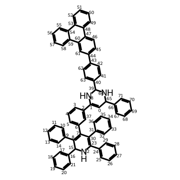 C1=C(c2cccc(C3=C(c4ccccc4)C(c4ccccc4)NC(c4ccccc4)=C3c3ccccc3)c2)NC(c2ccc(-c3ccc4c5ccccc5c5ccccc5c4c3)cc2)NC1c1ccccc1